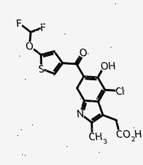 CC1=C(CC(=O)O)C2=C(Cl)C(O)=C(C(=O)c3csc(OC(F)F)c3)CC2=N1